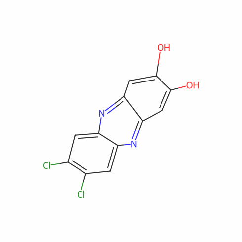 Oc1cc2nc3cc(Cl)c(Cl)cc3nc2cc1O